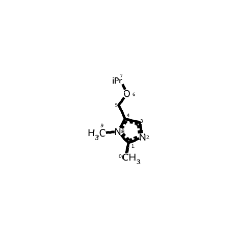 Cc1ncc(COC(C)C)n1C